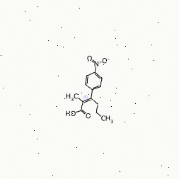 CCC/C(=C(/C)C(=O)O)c1ccc([N+](=O)[O-])cc1